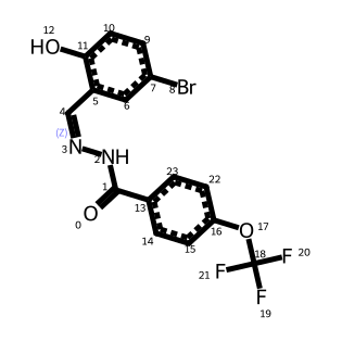 O=C(N/N=C\c1cc(Br)ccc1O)c1ccc(OC(F)(F)F)cc1